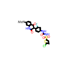 CNc1ccc2c(c1)NC(=O)C(c1ccc(NC(=O)NS(=O)(=O)c3ccc(Cl)s3)cc1F)C2=O